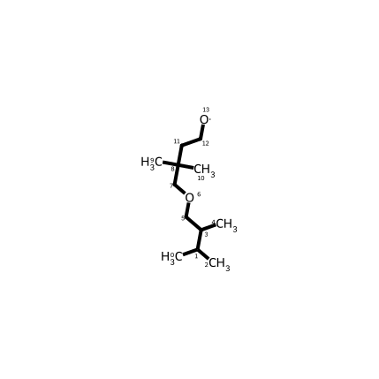 CC(C)C(C)COCC(C)(C)CC[O]